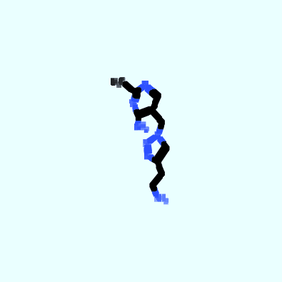 Cc1ncc(Cn2cc(CCN)nn2)c(N)n1